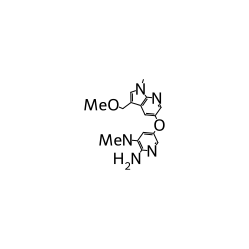 CNc1cc(Oc2cnc3c(c2)c(COC)cn3C)cnc1N